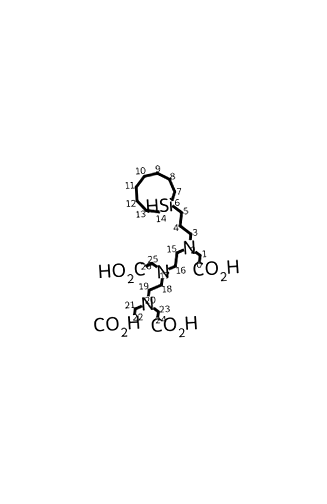 O=C(O)CN(CCC[SiH]1CCCCCCCC1)CCN(CCN(CC(=O)O)CC(=O)O)CC(=O)O